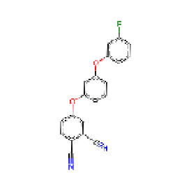 N#Cc1ccc(Oc2cccc(Oc3cccc(F)c3)c2)cc1C#N